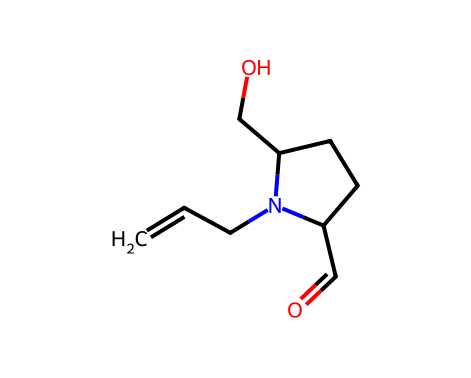 C=CCN1C(C=O)CCC1CO